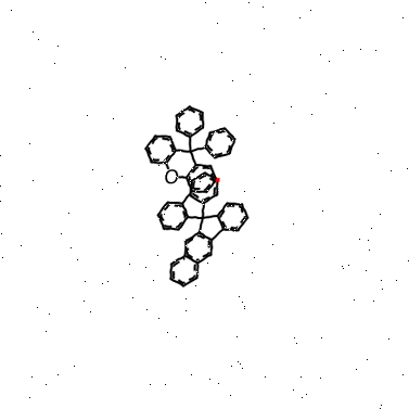 c1ccc(C2(c3ccccc3)c3ccccc3Oc3c(-c4ccccc4C4(c5ccccc5)c5ccccc5-c5cc6ccccc6cc54)cccc32)cc1